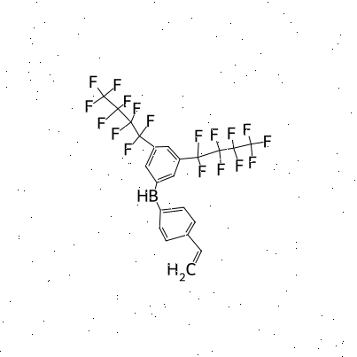 C=Cc1ccc(Bc2cc(C(F)(F)C(F)(F)C(F)(F)C(F)(F)F)cc(C(F)(F)C(F)(F)C(F)(F)C(F)(F)F)c2)cc1